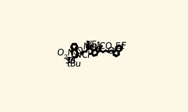 CCOC(=O)c1[nH]c2c(-c3c(CCCN(CCO[Si](C)(C)C(C)(C)C)S(=O)(=O)c4ccccc4[N+](=O)[O-])nn(C)c3CC)c(Cl)ccc2c1CCCOc1cccc2cc(F)ccc12